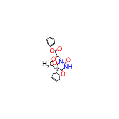 CC[C@@]1(c2ccccc2)C(=O)NC(=O)N(CC(=O)C(=O)Oc2ccccc2)C1=O